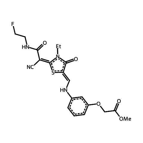 CCn1c(=C(C#N)C(=O)NCCF)sc(=CNc2cccc(OCC(=O)OC)c2)c1=O